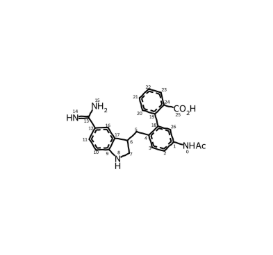 CC(=O)Nc1ccc(CC2CNc3ccc(C(=N)N)cc32)c(-c2ccccc2C(=O)O)c1